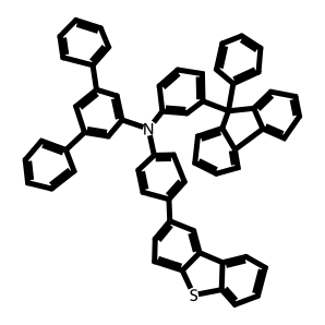 c1ccc(-c2cc(-c3ccccc3)cc(N(c3ccc(-c4ccc5sc6ccccc6c5c4)cc3)c3cccc(C4(c5ccccc5)c5ccccc5-c5ccccc54)c3)c2)cc1